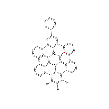 Fc1c(F)c2c3c(c1F)-c1cccc4ccc5c(c14)N3c1c(ccc3cccc-2c13)B5c1c(-c2ccccc2)cc(-c2ccccc2)cc1-c1ccccc1